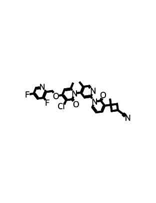 Cc1cnc(-n2cccc(C3(C)CC(C#N)C3)c2=O)cc1-n1c(C)cc(OCc2ncc(F)cc2F)c(Cl)c1=O